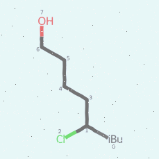 CCC(C)C(Cl)CCCCO